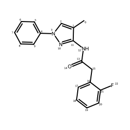 Cc1cn(-c2ccccc2)nc1NC(=O)Cc1ccccc1F